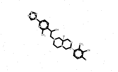 Cc1nc(-n2cnnn2)ccc1C(O)CN1CCN2C[C@@H](c3ccc(F)c(C#N)c3C)OC[C@@H]2C1